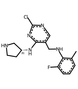 Cc1cccc(F)c1NCc1cnc(Cl)nc1N[C@@H]1CCNC1